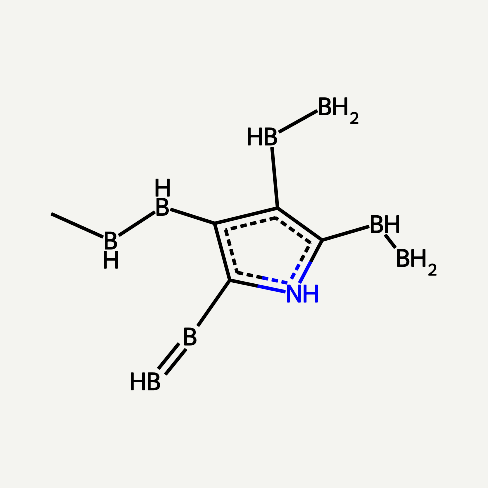 B=Bc1[nH]c(BB)c(BB)c1BBC